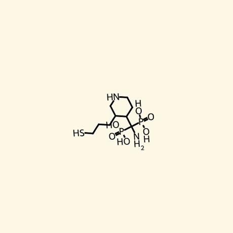 NC(C1CCNCC1CCCS)(P(=O)(O)O)P(=O)(O)O